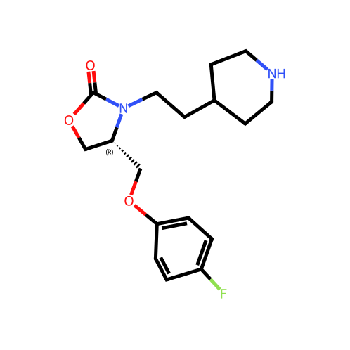 O=C1OC[C@@H](COc2ccc(F)cc2)N1CCC1CCNCC1